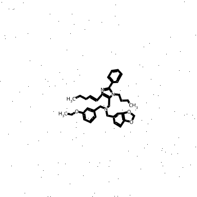 CCCC=Cc1nc(-c2ccccc2)n(CCCC)c1CN(Cc1cccc(OCC)c1)Cc1ccc2c(c1)OCO2